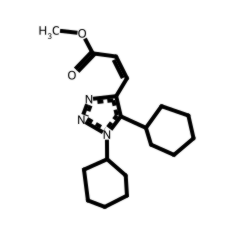 COC(=O)/C=C\c1nnn(C2CCCCC2)c1C1CCCCC1